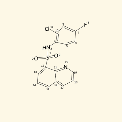 O=S(=O)(Nc1ccc(F)cc1Cl)c1cccc2cccnc12